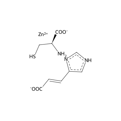 N[C@@H](CS)C(=O)[O-].O=C([O-])C=Cc1c[nH]cn1.[Zn+2]